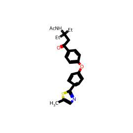 CCC(CC)(CC(=O)c1ccc(Oc2ccc(-c3ncc(C)s3)cc2)cc1)NC(C)=O